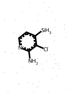 Nc1nccc([SiH3])c1Cl